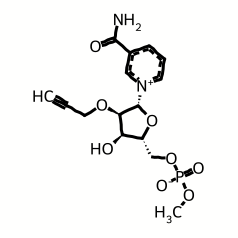 C#CCO[C@@H]1[C@H](O)[C@@H](COP(=O)([O-])OC)O[C@H]1[n+]1cccc(C(N)=O)c1